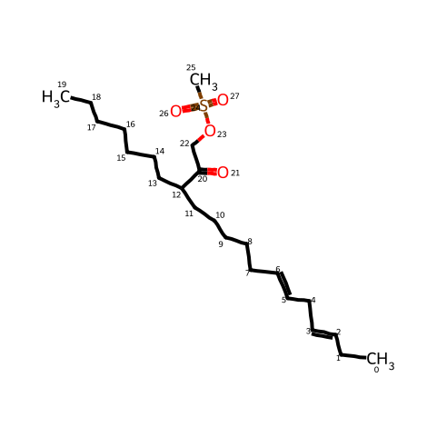 CCC=CCC=CCCCCCC(CCCCCCC)C(=O)COS(C)(=O)=O